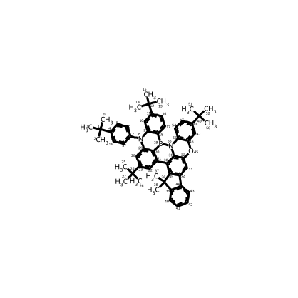 CC(C)(C)c1ccc(N2c3cc(C(C)(C)C)ccc3B3c4c(cc(C(C)(C)C)cc42)-c2c4c(cc5c2C(C)(C)c2ccccc2-5)Oc2cc(C(C)(C)C)ccc2N34)cc1